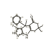 CC1(C)CC(=O)C2=C(C1)Nc1n[nH]c(F)c1C2(C)c1ccccc1